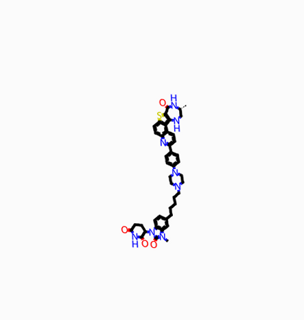 C[C@@H]1CNc2c(sc3ccc4nc(-c5ccc(N6CCN(CCCCCc7ccc8c(c7)n(C)c(=O)n8C7CCC(=O)NC7=O)CC6)cc5)ccc4c23)C(=O)N1